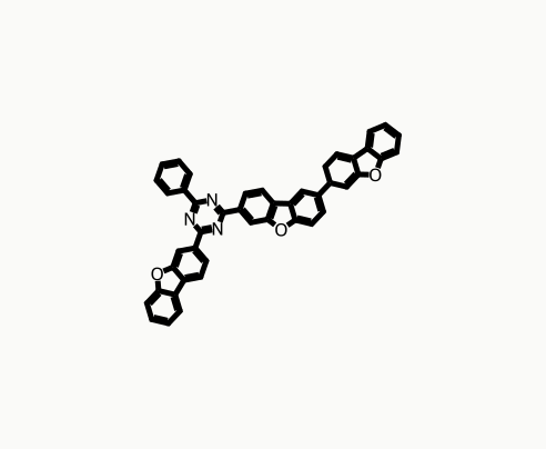 C1=c2oc3ccccc3c2=CCC1c1ccc2oc3cc(-c4nc(-c5ccccc5)nc(-c5ccc6c(c5)oc5ccccc56)n4)ccc3c2c1